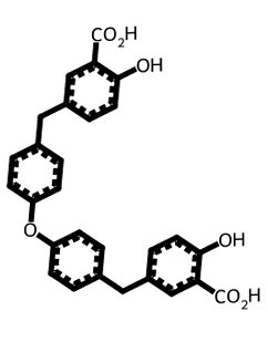 O=C(O)c1cc(Cc2ccc(Oc3ccc(Cc4ccc(O)c(C(=O)O)c4)cc3)cc2)ccc1O